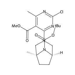 COC(=O)c1c(C)nc(Cl)nc1N1C[C@H]2CC[C@@](C)(C1)N2C(=O)OC(C)(C)C